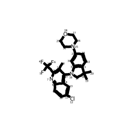 Cc1c(C(F)(F)F)nc2ccc(Cl)cc2c1N1CC(C)(C)c2ccc(N3CCOCC3)cc21